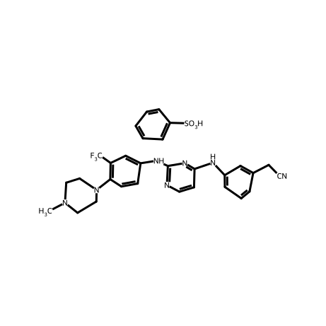 CN1CCN(c2ccc(Nc3nccc(Nc4cccc(CC#N)c4)n3)cc2C(F)(F)F)CC1.O=S(=O)(O)c1ccccc1